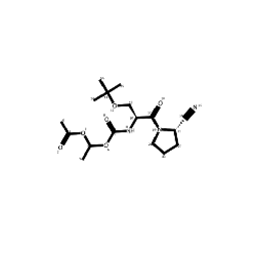 CC(=O)OC(C)OC(=O)N[C@@H](COC(C)(C)C)C(=O)N1CCC[C@H]1C#N